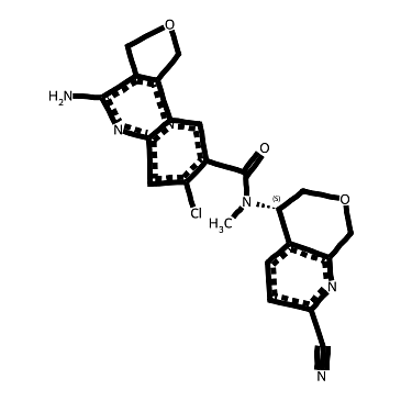 CN(C(=O)c1cc2c3c(c(N)nc2cc1Cl)COC3)[C@@H]1COCc2nc(C#N)ccc21